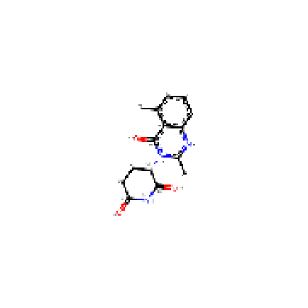 Cc1cccc2nc(C)n([C@H]3CCC(=O)NC3=O)c(=O)c12